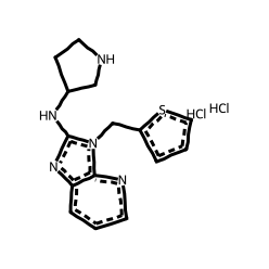 Cl.Cl.c1csc(Cn2c(NC3CCNC3)nc3cccnc32)c1